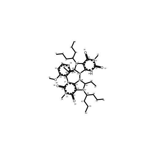 CCCC(CCC)N1c2c([nH]c(=O)n(C)c2=O)N(N2c3c(c(=O)n(C)c(=O)n3-c3c(OC)ccnc3C)N(C(CCC)CCC)C2CC)C1CC